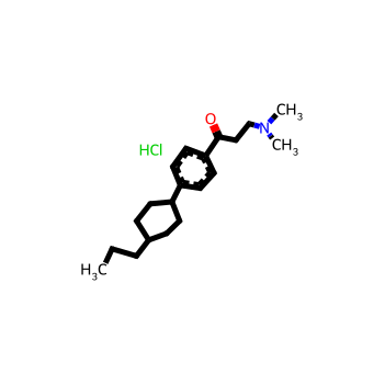 CCCC1CCC(c2ccc(C(=O)CCN(C)C)cc2)CC1.Cl